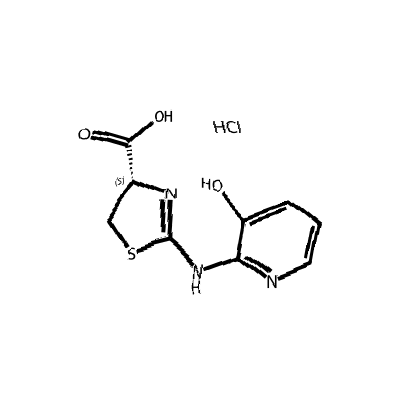 Cl.O=C(O)[C@H]1CSC(Nc2ncccc2O)=N1